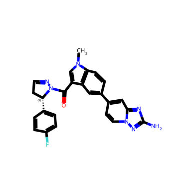 Cn1cc(C(=O)N2N=CC[C@H]2c2ccc(F)cc2)c2cc(-c3ccn4nc(N)nc4c3)ccc21